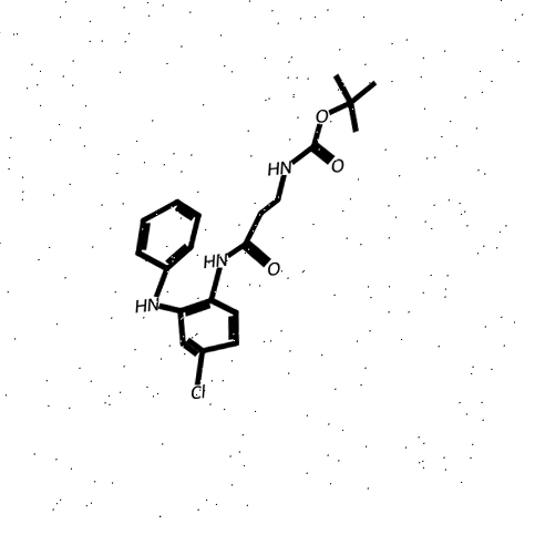 CC(C)(C)OC(=O)NCCC(=O)Nc1ccc(Cl)cc1Nc1ccccc1